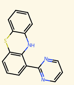 c1cnc(-c2cccc3c2Nc2ccccc2S3)nc1